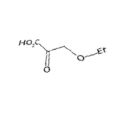 CCOCC(=O)C(=O)O